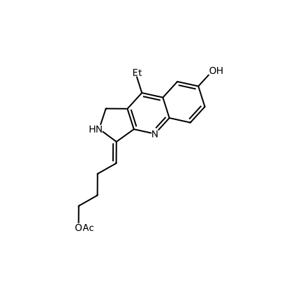 CCc1c2c(nc3ccc(O)cc13)/C(=C/CCCOC(C)=O)NC2